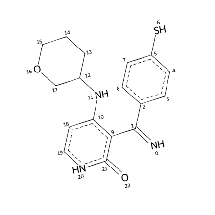 N=C(c1ccc(S)cc1)c1c(NC2CCCOC2)cc[nH]c1=O